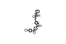 O=C(C=Cc1ccc(NC2CCN(C(=O)c3ccc(Cl)cc3)CC2)nc1)NOC1CCCCO1